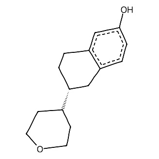 Oc1ccc2c(c1)CC[C@@H](C1CCOCC1)C2